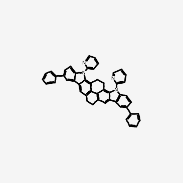 c1ccc(-c2ccc3c(c2)c2cc4c5c(c2n3-c2ccccn2)CCc2c-5c(cc3c5cc(-c6ccccc6)ccc5n(-c5ccccn5)c23)CC4)cc1